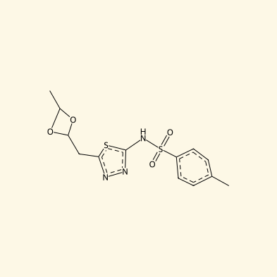 Cc1ccc(S(=O)(=O)Nc2nnc(CC3OC(C)O3)s2)cc1